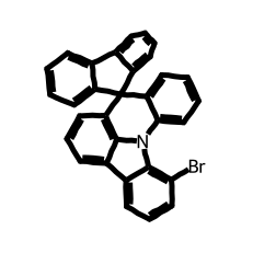 Brc1cccc2c3cccc4c3n(c12)-c1ccccc1C41c2ccccc2-c2ccccc21